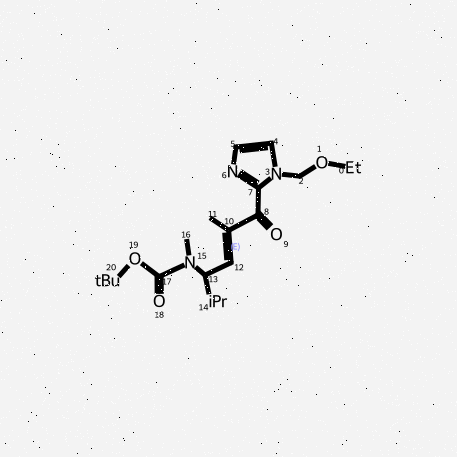 CCOCn1ccnc1C(=O)/C(C)=C/C(C(C)C)N(C)C(=O)OC(C)(C)C